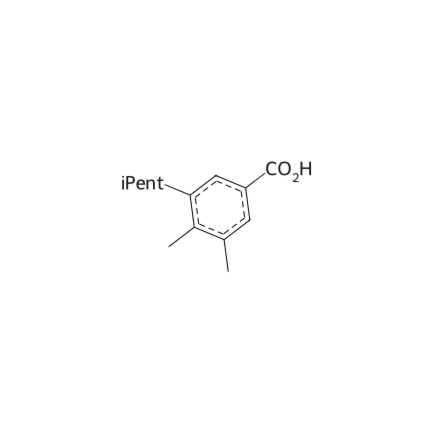 CCCC(C)c1cc(C(=O)O)cc(C)c1C